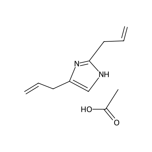 C=CCc1c[nH]c(CC=C)n1.CC(=O)O